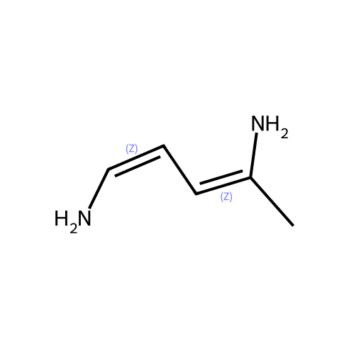 C/C(N)=C/C=C\N